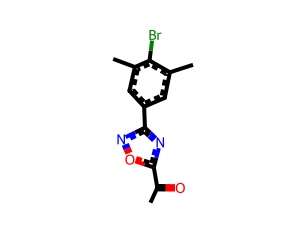 CC(=O)c1nc(-c2cc(C)c(Br)c(C)c2)no1